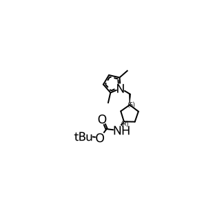 Cc1ccc(C)n1C[C@H]1CC[C@@H](NC(=O)OC(C)(C)C)C1